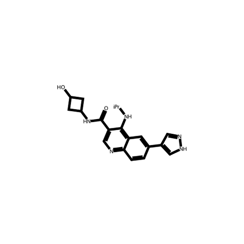 CC(C)Nc1c(C(=O)NC2CC(O)C2)cnc2ccc(-c3cn[nH]c3)cc12